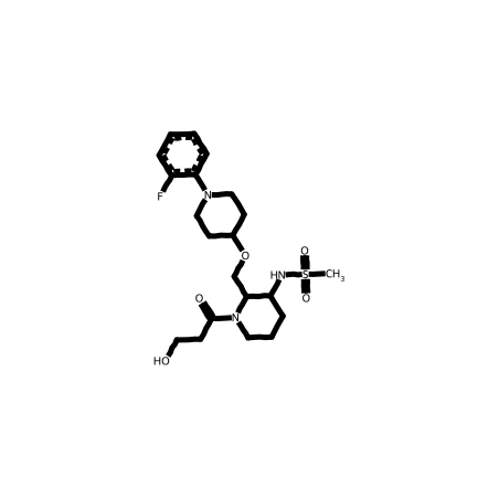 CS(=O)(=O)NC1CCCN(C(=O)CCO)C1COC1CCN(c2ccccc2F)CC1